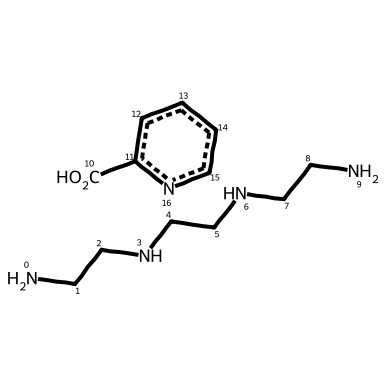 NCCNCCNCCN.O=C(O)c1ccccn1